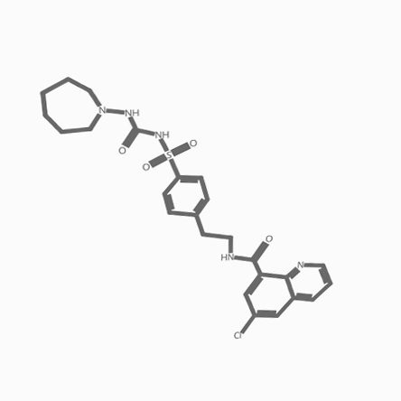 O=C(NN1CCCCCC1)NS(=O)(=O)c1ccc(CCNC(=O)c2cc(Cl)cc3cccnc23)cc1